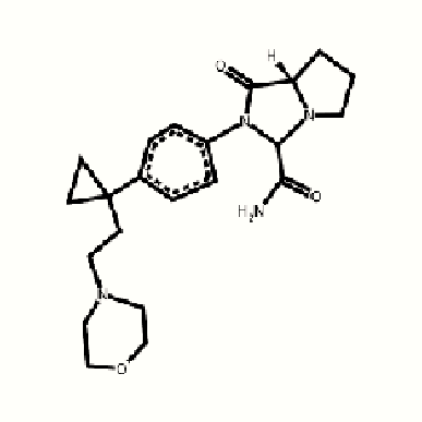 NC(=O)C1N(c2ccc(C3(CCN4CCOCC4)CC3)cc2)C(=O)[C@@H]2[CH]CCN12